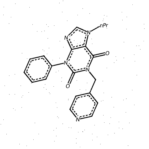 CCCn1cnc2c1c(=O)n(Cc1ccncc1)c(=O)n2-c1ccccc1